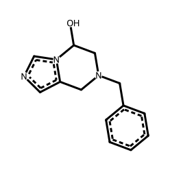 OC1CN(Cc2ccccc2)Cc2cncn21